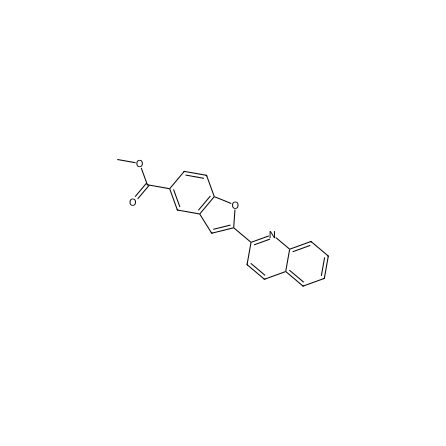 COC(=O)c1ccc2oc(-c3ccc4ccccc4n3)cc2c1